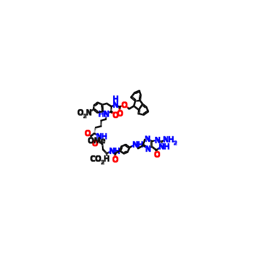 COC(=O)[C@H](CCCCNC(=O)C(Cc1ccc([N+](=O)[O-])cc1)NC(=O)OCC1c2ccccc2-c2ccccc21)NC(=O)CCC(NC(=O)c1ccc(NCc2cnc3nc(N)[nH]c(=O)c3n2)cc1)C(=O)O